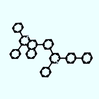 c1ccc(-c2ccc(-c3cc(-c4cccc(-c5cc6nc(-c7ccccc7)cc(-c7ccccc7)c6c6ccccc56)c4)cc(-c4ccccc4)n3)cc2)cc1